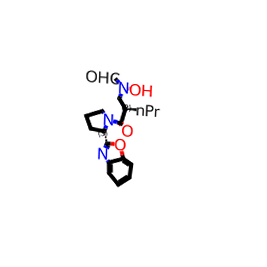 CCC[C@H](CN(O)C=O)C(=O)N1CCC[C@H]1c1nc2ccccc2o1